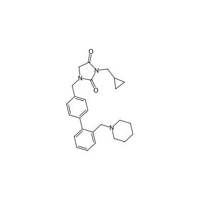 O=C1CN(Cc2ccc(-c3ccccc3CN3CCCCC3)cc2)C(=O)N1CC1CC1